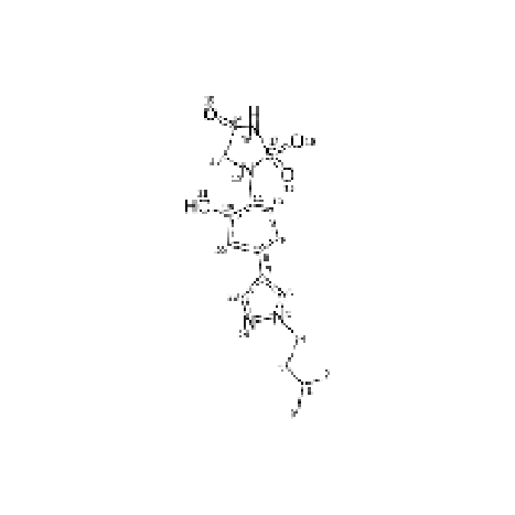 CC(C)CCn1cc(-c2ccc(N3CC(=O)NS3(=O)=O)c(O)c2)cn1